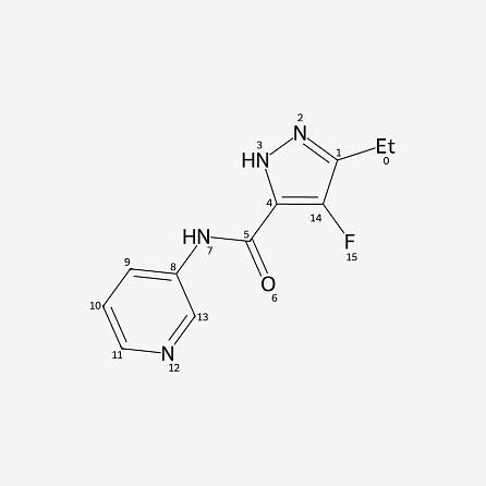 CCc1n[nH]c(C(=O)Nc2cccnc2)c1F